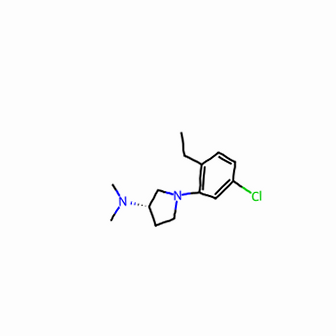 CCc1ccc(Cl)cc1N1CC[C@H](N(C)C)C1